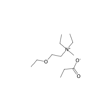 CCC(=O)[O-].CCOCC[N+](C)(CC)CC